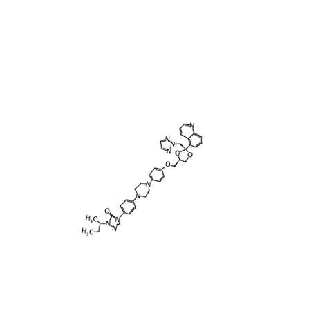 CCC(C)n1ncn(-c2ccc(N3CCN(c4ccc(OC[C@@H]5CO[C@@](Cn6nccn6)(c6cccc7ncccc67)O5)cc4)CC3)cc2)c1=O